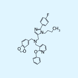 CCCCn1c(CN(Cc2ccc3c(c2)OCO3)Cc2cccnc2Oc2ccccc2)cnc1-c1ccc(F)cc1